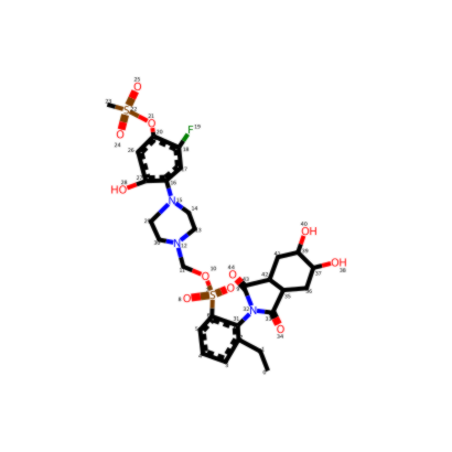 CCc1cccc(S(=O)(=O)OCN2CCN(c3cc(F)c(OS(C)(=O)=O)cc3O)CC2)c1N1C(=O)C2CC(O)C(O)CC2C1=O